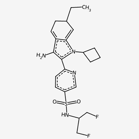 CCC1C=c2c(c(N)c(-c3ccc(S(=O)(=O)NC(CF)CF)cn3)n2C2CCC2)=CC1